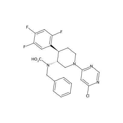 O=C(O)N(Cc1ccccc1)[C@H]1CN(c2cc(Cl)ncn2)CC[C@@H]1c1cc(F)c(F)cc1F